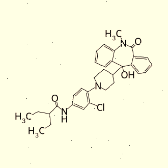 CCC(CC)C(=O)Nc1ccc(N2CCC(C3(O)c4ccccc4C(=O)N(C)c4ccccc43)CC2)c(Cl)c1